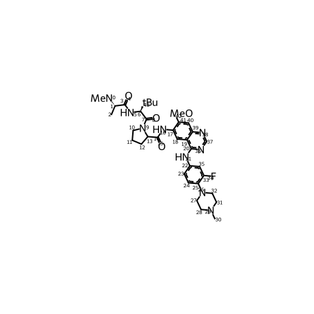 CN[C@@H](C)C(=O)N[C@H](C(=O)N1CCCC1C(=O)Nc1cc2c(Nc3ccc(N4CCN(C)CC4)c(F)c3)ncnc2cc1OC)C(C)(C)C